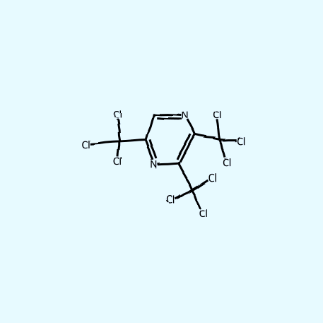 ClC(Cl)(Cl)c1cnc(C(Cl)(Cl)Cl)c(C(Cl)(Cl)Cl)n1